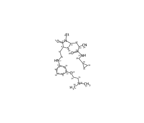 CCN1C(=O)C(CCNc2cccc(OCCN(C)C)c2)SC1CC(C#N)C(=O)NCC1CC1